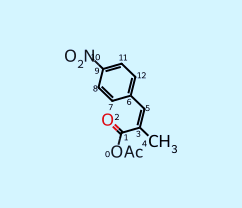 CC(=O)OC(=O)C(C)=Cc1ccc([N+](=O)[O-])cc1